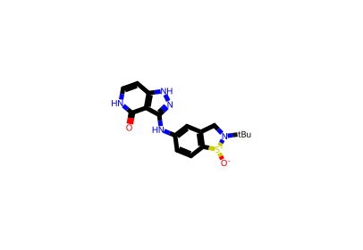 CC(C)(C)N1Cc2cc(Nc3n[nH]c4cc[nH]c(=O)c34)ccc2[S+]1[O-]